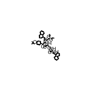 CCOC(OCC)[C@H](C)N(Cc1cccc2ccccc12)C[C@H](NC(=O)CONC(=O)NCc1cccc2ccccc12)C(=O)c1ccc(OC(C)(C)C)cc1